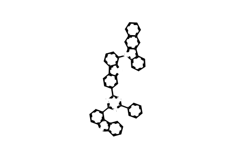 c1ccc(-c2nc(-c3ccc4c(c3)oc3c(-n5c6ccccc6c6cc7ccccc7cc65)cccc34)nc(-c3cccc4oc5ccccc5c34)n2)cc1